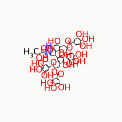 C[C@H](O)C(O)C(=O)NCC(c1c(O)cc(O)c2c1O[C@H](c1cc(O)c(O)c(O)c1)[C@H](OC(=O)c1cc(O)c(O)c(O)c1)C2)c1c(O)cc(O)c2c1O[C@H](c1cc(O)c(O)c(O)c1)[C@H](OC(=O)c1cc(O)c(O)c(O)c1)C2